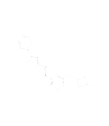 CCOC(=O)c1c(-c2ccccc2)csc1NC(=O)c1cccc(CN2CC(C)C2)c1